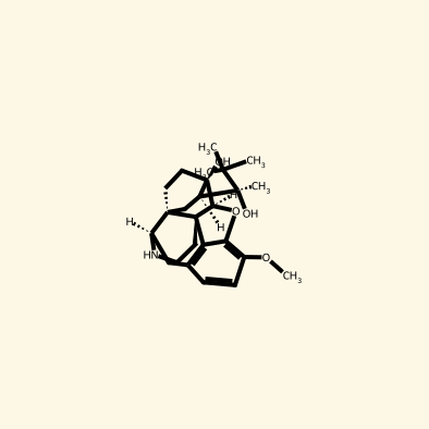 COc1ccc2c3c1O[C@@H]1[C@@]4(O)CC[C@@]5(C[C@@H]4[C@](C)(O)C(C)(C)C)[C@@H](C2)NCC[C@]315